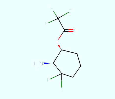 N[C@H]1[C@@H](OC(=O)C(F)(F)F)CCCC1(F)F